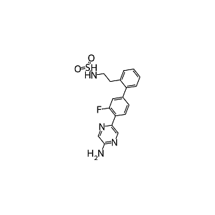 Nc1cnc(-c2ccc(-c3ccccc3CCN[SH](=O)=O)cc2F)cn1